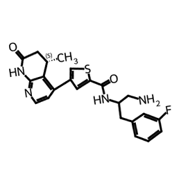 C[C@H]1CC(=O)Nc2nccc(-c3csc(C(=O)NC(CN)Cc4cccc(F)c4)c3)c21